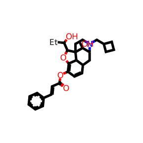 CCC(O)C1OC2=C(OC(=O)/C=C/c3ccccc3)C=CC3CC4N(CC5CCC5)CCC1(C23)C4(C)O